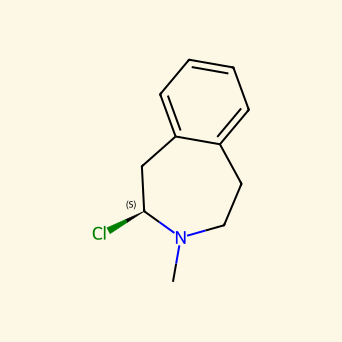 CN1CCc2ccccc2C[C@@H]1Cl